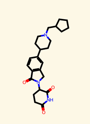 O=C1CCC(N2Cc3cc(C4CCN(CC5CCCC5)CC4)ccc3C2=O)C(=O)N1